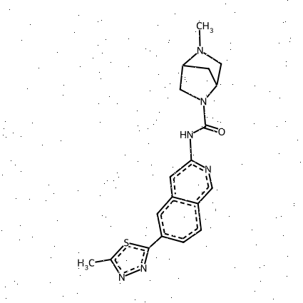 Cc1nnc(-c2ccc3cnc(NC(=O)N4CC5CC4CN5C)cc3c2)s1